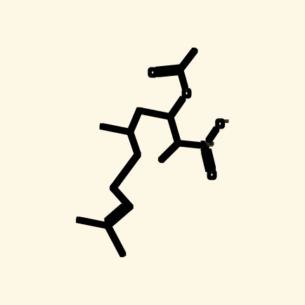 CC(=O)OC(CC(C)CCC=C(C)C)C(C)[N+](=O)[O-]